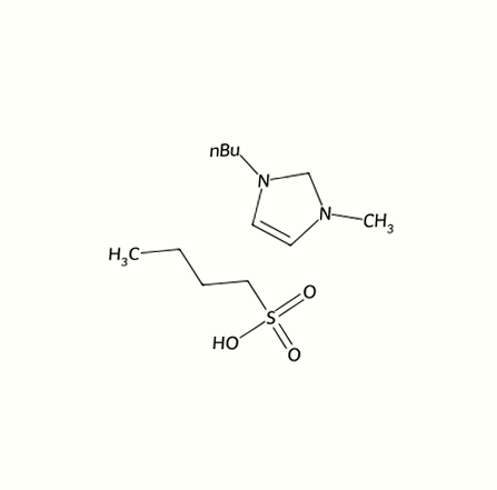 CCCCN1C=CN(C)C1.CCCCS(=O)(=O)O